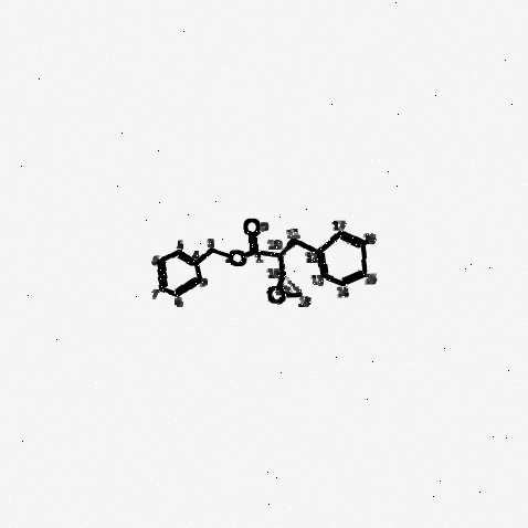 O=C(OCc1ccccc1)[C@@H](Cc1ccccc1)[C@@H]1CO1